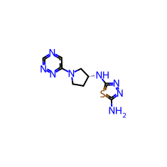 Nc1nnc(N[C@@H]2CCN(c3cncnn3)C2)s1